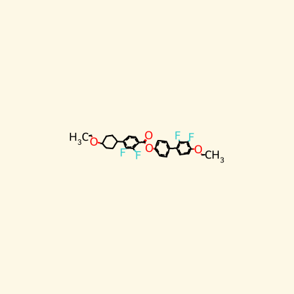 CCOc1ccc(-c2ccc(OC(=O)c3ccc(C4CCC(OCC)CC4)c(F)c3F)cc2)c(F)c1F